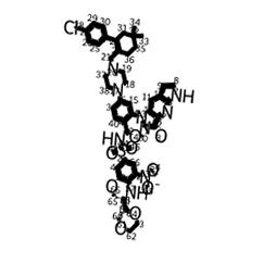 Cn1c(=O)c2nc3[nH]ccc3cc2n1-c1cc(N2CCN(CC3=C(c4ccc(Cl)cc4)CC(C)(C)CC3)CC2)ccc1C(=O)NS(=O)(=O)c1cc2c(c([N+](=O)[O-])c1)N[C@H]([C@H]1COCCO1)CO2